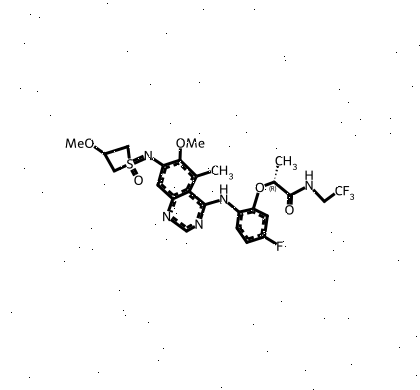 COc1c(N=S2(=O)CC(OC)C2)cc2ncnc(Nc3ccc(F)cc3O[C@H](C)C(=O)NCC(F)(F)F)c2c1C